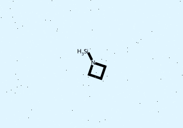 [SiH3]N1CCC1